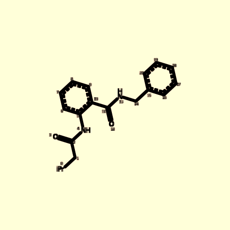 CC(C)CC(=O)Nc1ccccc1C(=O)NCc1ccccc1